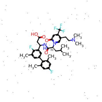 Cc1cc(-c2c(C)cc(F)cc2C)cc(C(CC(=O)O)NC(=O)[C@H](CC(C)C)n2cc(CCN(C)C)c(C(F)(F)F)cc2=O)c1F